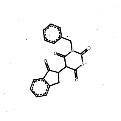 O=C1c2ccccc2CC1C1C(=O)NC(=O)N(Cc2ccccc2)C1=O